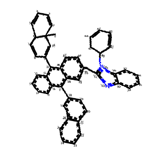 CC12C=CC=CC1C=CC(c1c3ccccc3c(-c3ccc4ccccc4c3)c3cc(-c4nc5ccccc5n4C4C=CC=CC4)ccc13)=C2